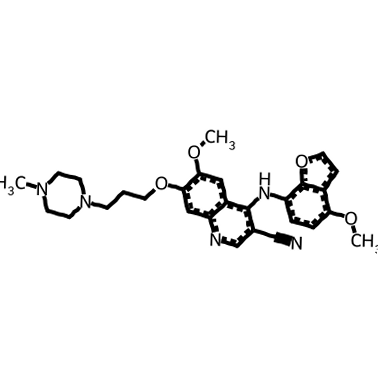 COc1cc2c(Nc3ccc(OC)c4ccoc34)c(C#N)cnc2cc1OCCCN1CCN(C)CC1